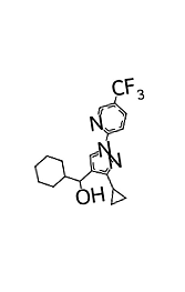 OC(c1cn(-c2ccc(C(F)(F)F)cn2)nc1C1CC1)C1CCCCC1